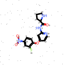 O=C(Nc1cc(Oc2ccc([N+](=O)[O-])cc2F)ccn1)C1CCCN1